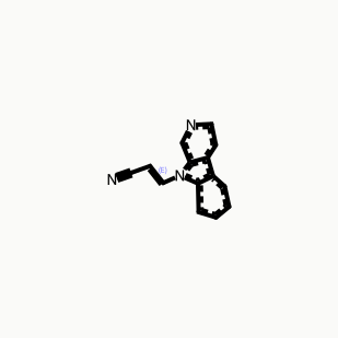 N#C/C=C/n1c2ccccc2c2ccncc21